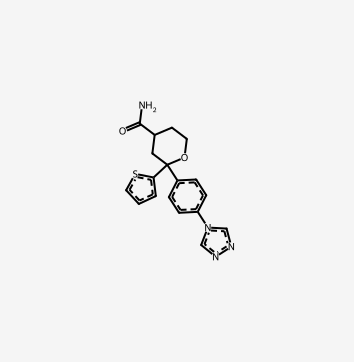 NC(=O)C1CCOC(c2ccc(-n3cnnc3)cc2)(c2cccs2)C1